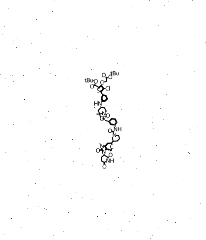 Cn1c(=O)n(C2CCC(=O)NC2=O)c2ccc(C3CCCN(C(=O)Nc4cccc(CS(=O)(=O)N5CC[C@H](Nc6cccc(-c7sc(C(=O)OC(C)(C)C)c(OCC(=O)OC(C)(C)C)c7Cl)c6)CC5(C)C)c4)C3)cc21